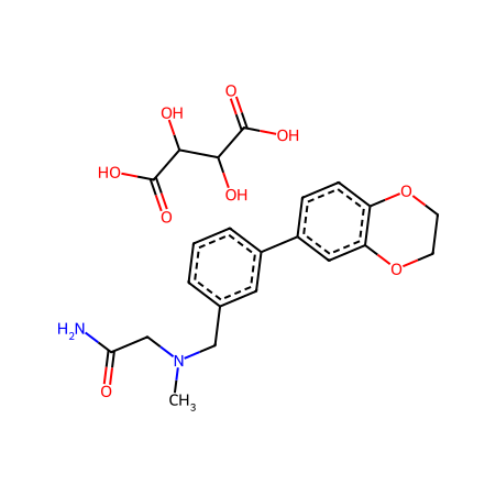 CN(CC(N)=O)Cc1cccc(-c2ccc3c(c2)OCCO3)c1.O=C(O)C(O)C(O)C(=O)O